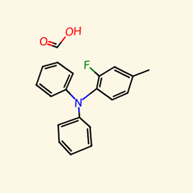 Cc1ccc(N(c2ccccc2)c2ccccc2)c(F)c1.O=CO